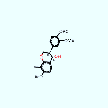 COc1cc([C@@H]2COc3c(ccc(OC(C)=O)c3C)[C@H]2O)ccc1OC(C)=O